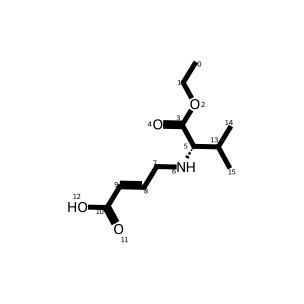 CCOC(=O)[C@@H](NC/C=C/C(=O)O)C(C)C